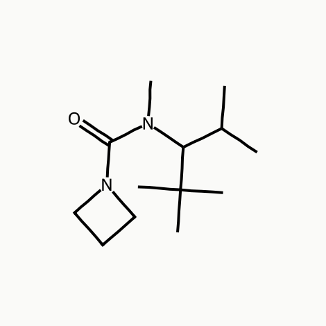 CC(C)C(N(C)C(=O)N1CCC1)C(C)(C)C